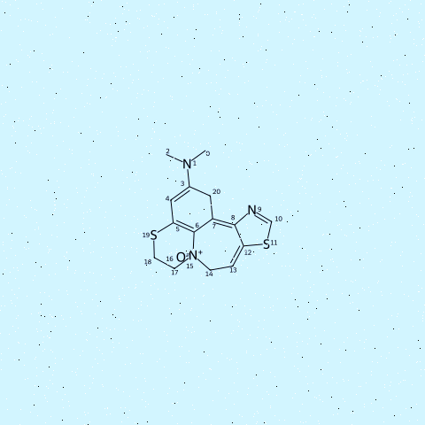 CN(C)C1=CC2=C3C(=c4ncsc4=CC[N+]3([O-])CCS2)C1